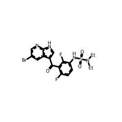 CCN(CC)S(=O)(=O)Nc1ccc(F)c(C(=O)c2c[nH]c3ncc(Br)cc23)c1F